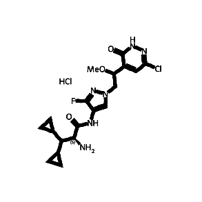 COC(Cn1cc(NC(=O)[C@@H](N)C(C2CC2)C2CC2)c(F)n1)c1cc(Cl)n[nH]c1=O.Cl